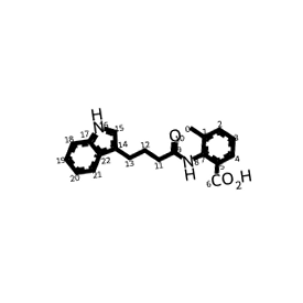 Cc1cccc(C(=O)O)c1NC(=O)CCCc1c[nH]c2ccccc12